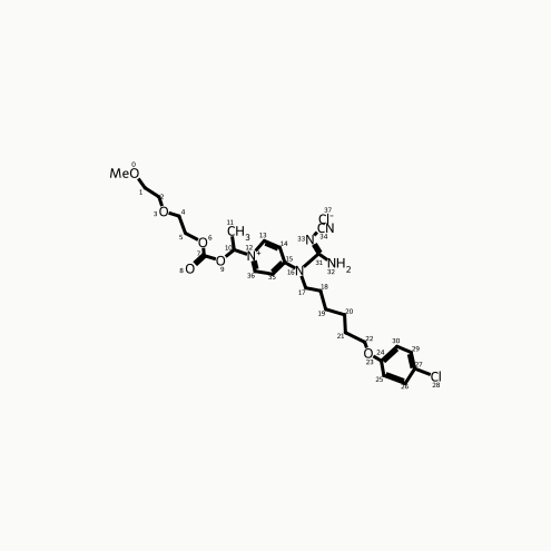 COCCOCCOC(=O)OC(C)[n+]1ccc(N(CCCCCCOc2ccc(Cl)cc2)C(N)=NC#N)cc1.[Cl-]